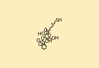 CON(CCCSCCS)[C@@H]1OC(CO)[C@H](O)C(OC(CC2CCCCC2)C(=O)O)C1O